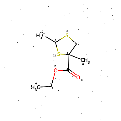 CCOC(=O)C1(C)CSC(C)S1